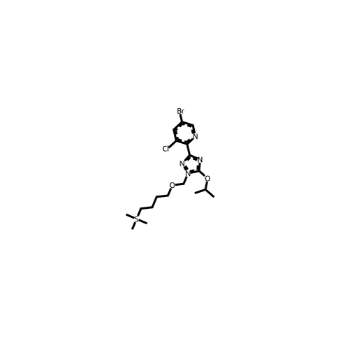 CC(C)Oc1nc(-c2ncc(Br)cc2Cl)nn1COCCCCS(C)(C)C